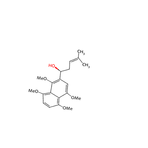 COc1ccc(OC)c2c(OC)c([C@@H](O)CC=C(C)C)cc(OC)c12